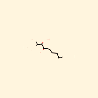 CCC(C(=O)O)C(O)C(O)CCCCC(=O)O